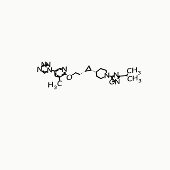 Cc1cc(-n2cnnn2)cnc1OCC[C@@H]1C[C@@H]1C1CCN(c2nc(C(C)C)no2)CC1